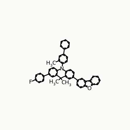 Cc1cc(-c2ccccc2)ccc1N1c2ccc(-c3ccc(F)cc3)cc2C(C)(C)c2cc(-c3ccc4oc5ccccc5c4c3)ccc21